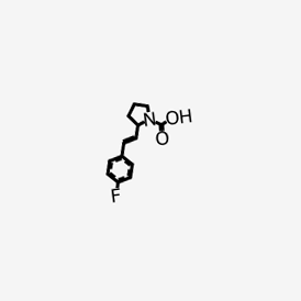 O=C(O)N1CCCC1C=Cc1ccc(F)cc1